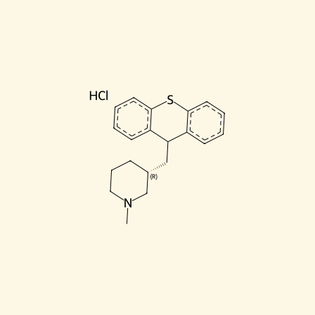 CN1CCC[C@H](CC2c3ccccc3Sc3ccccc32)C1.Cl